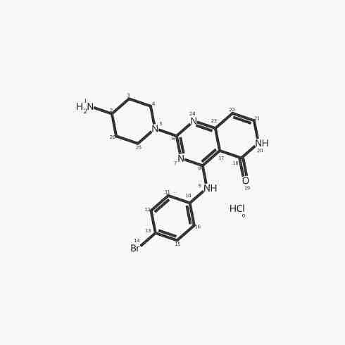 Cl.NC1CCN(c2nc(Nc3ccc(Br)cc3)c3c(=O)[nH]ccc3n2)CC1